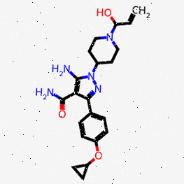 C=CC(O)N1CCC(n2nc(-c3ccc(OC4CC4)cc3)c(C(N)=O)c2N)CC1